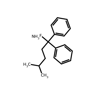 CC(C)CCC(F)(c1ccccc1)c1ccccc1.N